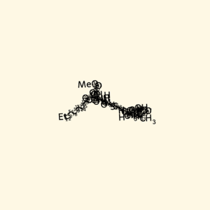 CC/C=C\C/C=C\C/C=C\C/C=C\C/C=C\C/C=C\CC(=O)OCC(C)(C)[C@@H](OC(=O)/C=C/C(=O)OC)C(=O)NCCC(=O)NCCSSCCNCOCC(=O)[C@@]1(O)CC[C@H]2[C@@H]3C[C@H](C)C4=CC(=O)C=C[C@]4(C)[C@H]3[C@@H](O)C[C@@]21C